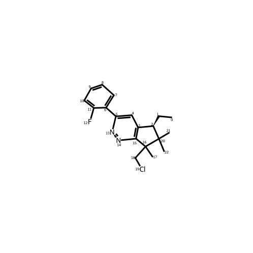 CC[C@@H]1c2cc(-c3ccccc3F)nnc2C(C)(CCl)C1(C)C